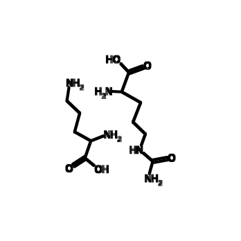 NC(=O)NCCCC(N)C(=O)O.NCCCC(N)C(=O)O